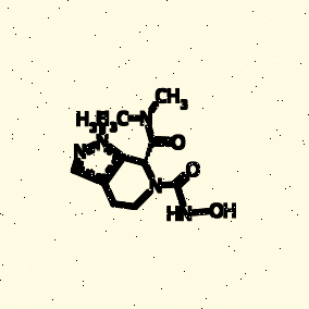 CN(C)C(=O)[C@H]1c2c(cnn2C)CCN1C(=O)NO